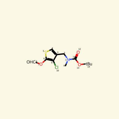 CN(Cc1csc(OC=O)c1Cl)C(=O)OC(C)(C)C